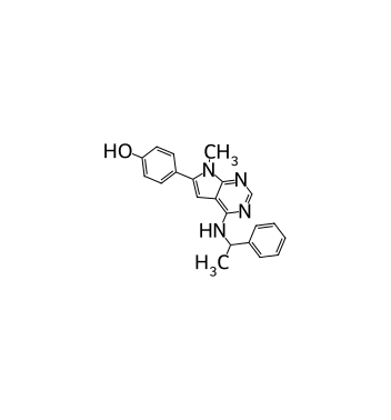 CC(Nc1ncnc2c1cc(-c1ccc(O)cc1)n2C)c1ccccc1